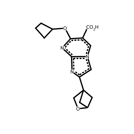 O=C(O)c1cn2cc(C34COC(C3)C4)nc2nc1OC1CCC1